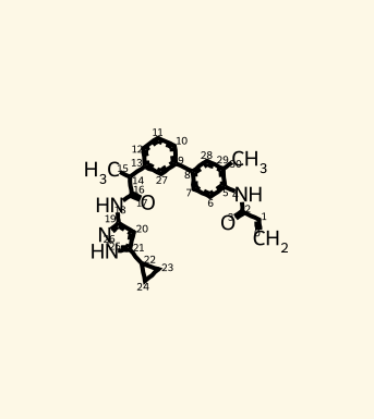 C=CC(=O)Nc1ccc(-c2cccc(C(C)C(=O)Nc3cc(C4CC4)[nH]n3)c2)cc1C